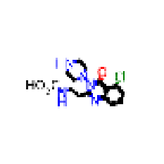 O=C(O)NCCc1nc2cccc(Cl)c2c(=O)n1N1CCNCC1